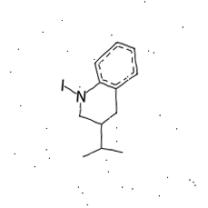 CC(C)C1Cc2ccccc2N(I)C1